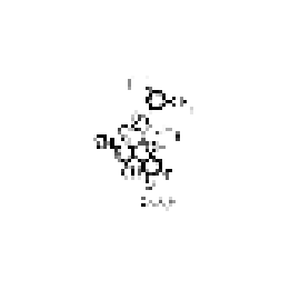 Cc1cc(N2CCC2)nc(CN2C(=O)O[C@H](c3cc(C(F)(F)F)cc(C(F)(F)F)c3)[C@@H]2C)c1-c1cc(CCC(=O)O)c(F)cc1O